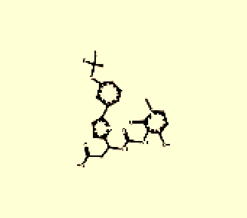 Cn1ccc(O)c(NC(=O)NC(CC(=O)O)c2ccc(-c3cccc(OC(F)(F)F)c3)s2)c1=O